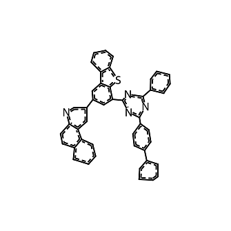 c1ccc(-c2ccc(-c3nc(-c4ccccc4)nc(-c4cc(-c5cnc6ccc7ccccc7c6c5)cc5c4sc4ccccc45)n3)cc2)cc1